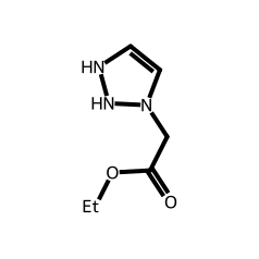 CCOC(=O)CN1C=CNN1